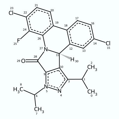 CC(C)c1nn(C(C)C)c2c1[C@@H]1c3cc(Cl)ccc3-c3ccc(Cl)c(F)c3N1C2=O